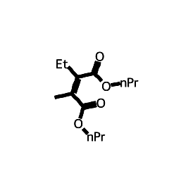 CCCOC(=O)/C(C)=C(/CC)C(=O)OCCC